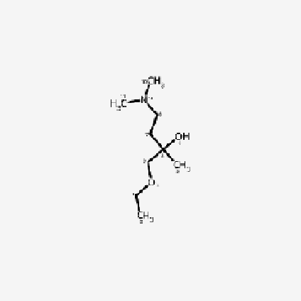 CCOCC(C)(O)CCN(C)C